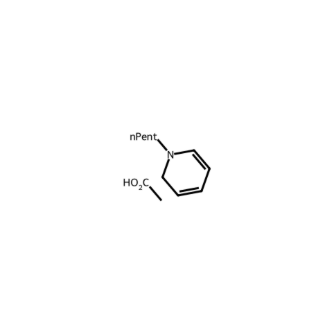 CC(=O)O.CCCCCN1C=CC=CC1